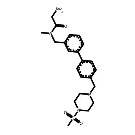 CN(Cc1cccc(-c2ccc(CN3CCN(S(C)(=O)=O)CC3)cc2)c1)C(=O)CN